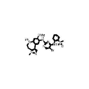 COc1cc2c(cc1Nc1ncc(Br)c(Nc3ccccc3P(C)(C)=O)n1)-c1cnn(C)c1CCN2C(C)C